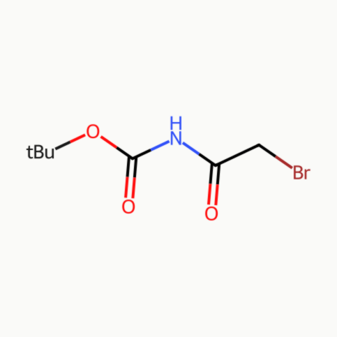 CC(C)(C)OC(=O)NC(=O)CBr